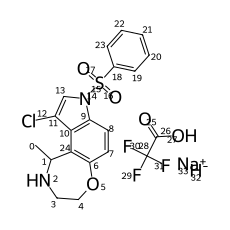 CC1NCCOc2ccc3c(c(Cl)cn3S(=O)(=O)c3ccccc3)c21.O=C(O)C(F)(F)F.[H-].[Na+]